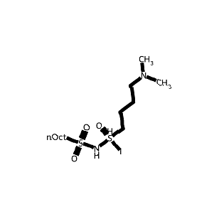 CCCCCCCCS(=O)(=O)N[SH](=O)(I)CCCCN(C)C